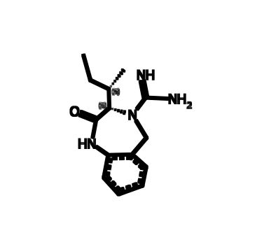 CC[C@H](C)[C@H]1C(=O)Nc2ccccc2CN1C(=N)N